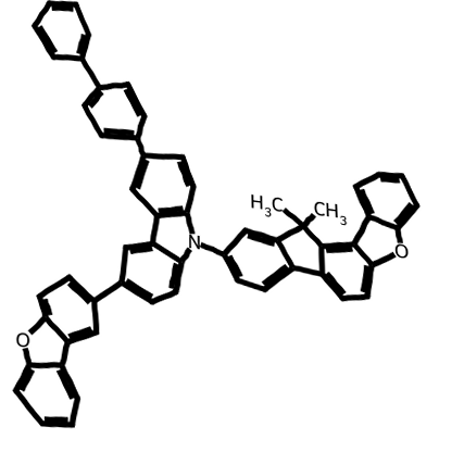 CC1(C)c2cc(-n3c4ccc(-c5ccc(-c6ccccc6)cc5)cc4c4cc(-c5ccc6oc7ccccc7c6c5)ccc43)ccc2-c2ccc3oc4ccccc4c3c21